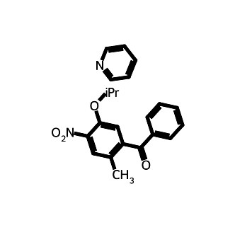 Cc1cc([N+](=O)[O-])c(OC(C)C)cc1C(=O)c1ccccc1.c1ccncc1